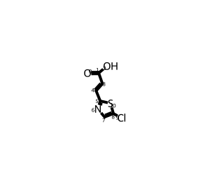 O=C(O)C=Cc1ncc(Cl)s1